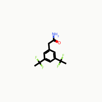 CC(F)(F)c1cc(CC(N)=O)cc(C(C)(F)F)c1